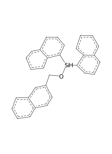 c1ccc2cc(CO[SiH](c3cccc4ccccc34)c3cccc4ccccc34)ccc2c1